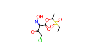 CCS(=O)(=O)C(C)OC(=O)/C(=N\O)C(=O)CCl